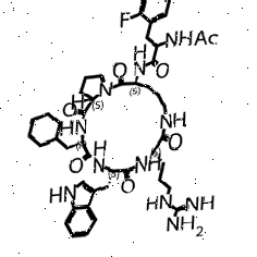 CC(=O)NC(Cc1ccccc1F)C(=O)N[C@H]1CCCNC(=O)[C@H](CCCNC(=N)N)NC(=O)[C@H](Cc2c[nH]c3ccccc23)NC(=O)[C@@H](CC2CCCCC2)NC(=O)[C@@H]2CCCN2C1=O